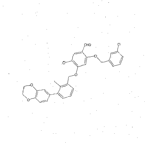 Cc1c(COc2cc(OCc3cccc(Cl)c3)c(C=O)cc2Cl)cccc1-c1ccc2c(c1)OCCO2